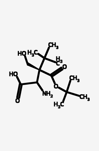 CC(C)(C)OC(=O)[C@](CO)(C(N)C(=O)O)C(C)(C)C